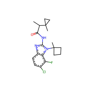 CC(C(=O)Nc1nc2ccc(Cl)c(F)c2n1C1(C)CCC1)C1(C)CC1